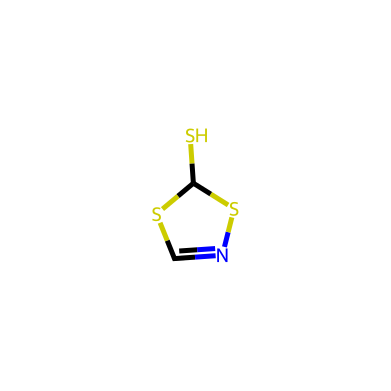 SC1SC=NS1